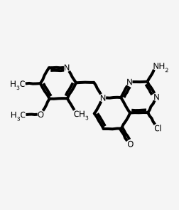 COc1c(C)cnc(Cn2ccc(=O)c3c(Cl)nc(N)nc32)c1C